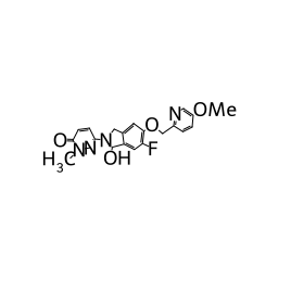 COc1ccc(COc2cc3c(cc2F)C(O)N(c2ccc(=O)n(C)n2)C3)nc1